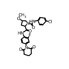 COC1CC(C(=O)Nc2ccc(N3C(=O)CCCC3=O)cc2F)N(C(=O)Nc2ccc(Cl)cc2)C1